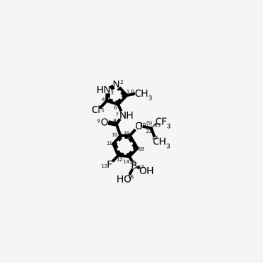 Cc1n[nH]c(Cl)c1NC(=O)c1cc(F)c(B(O)O)cc1O[C@@H](C)C(F)(F)F